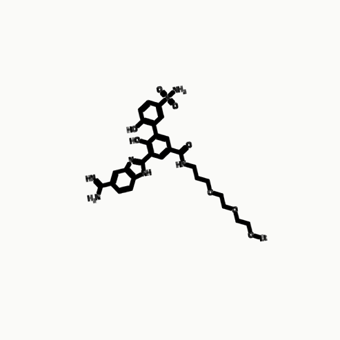 CCOCCOCCOCCCNC(=O)c1cc(-c2nc3cc(C(=N)N)ccc3[nH]2)c(O)c(-c2cc(S(N)(=O)=O)ccc2O)c1